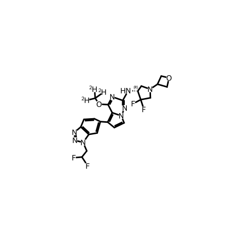 [2H]C([2H])([2H])Oc1nc(N[C@@H]2CN(C3COC3)CC2(F)F)nn2ccc(-c3ccc4nnn(CC(F)F)c4c3)c12